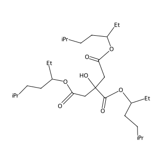 CCC(CCC(C)C)OC(=O)CC(O)(CC(=O)OC(CC)CCC(C)C)C(=O)OC(CC)CCC(C)C